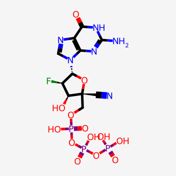 N#C[C@]1(COP(=O)(O)OP(=O)(O)OP(=O)(O)O)O[C@@H](n2cnc3c(=O)[nH]c(N)nc32)[C@H](F)[C@@H]1O